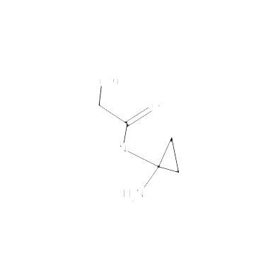 CCCCCC(=O)NC1(N)CC1